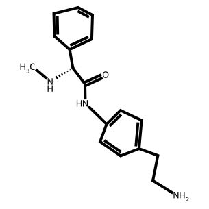 CN[C@@H](C(=O)Nc1ccc(CCN)cc1)c1ccccc1